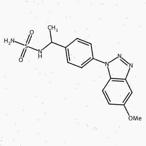 COc1ccc2c(c1)nnn2-c1ccc(C(C)NS(N)(=O)=O)cc1